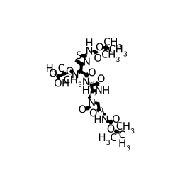 CC(C)(C)OC(=O)NC[C@H]1CN(C[C@H]2NC(=O)[C@H]2NC(=O)C(=NOC(C)(C)C(=O)O)c2csc(NC(=O)OC(C)(C)C)n2)C(=O)O1